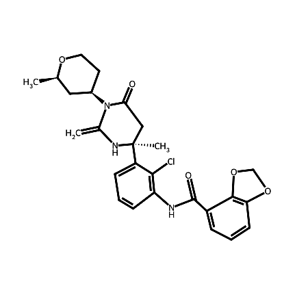 C=C1N[C@](C)(c2cccc(NC(=O)c3cccc4c3OCO4)c2Cl)CC(=O)N1[C@@H]1CCO[C@H](C)C1